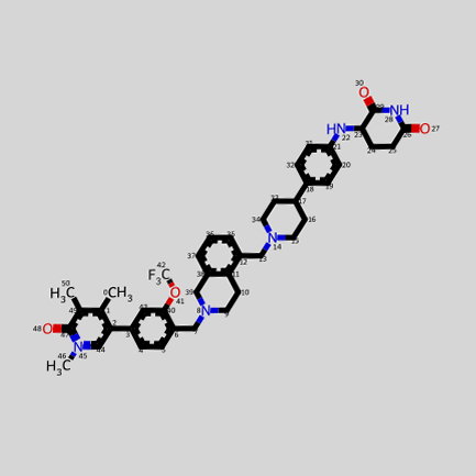 Cc1c(-c2ccc(CN3CCc4c(CN5CCC(c6ccc(NC7CCC(=O)NC7=O)cc6)CC5)cccc4C3)c(OC(F)(F)F)c2)cn(C)c(=O)c1C